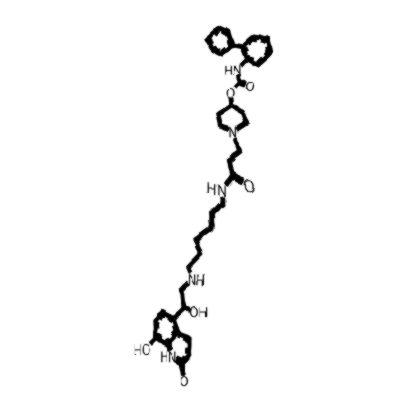 O=C(CCN1CCC(OC(=O)Nc2ccccc2-c2ccccc2)CC1)NCCCCCCNCC(O)c1ccc(O)c2[nH]c(=O)ccc12